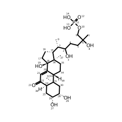 C[C@H](C(O)CCC(C)(O)COP(=O)(O)O)[C@H]1CC[C@@]2(O)C3=CC(=O)[C@@H]4C[C@@H](O)[C@@H](O)C[C@]4(C)[C@H]3CC[C@]12C